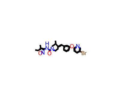 Cc1onc(NC(=O)N2CCC(=Cc3cccc(Oc4ccc(Br)cn4)c3)C(C)C2)c1C